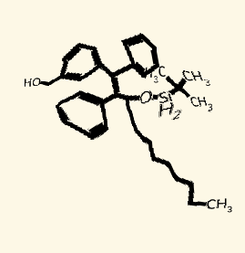 CCCCCCCCC(O[SiH2]C(C)(C)C)C(=C(c1ccccc1)c1cccc(CO)c1)c1ccccc1